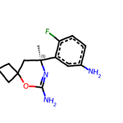 C[C@@]1(c2cc(N)ccc2F)CC2(CCC2)OC(N)=N1